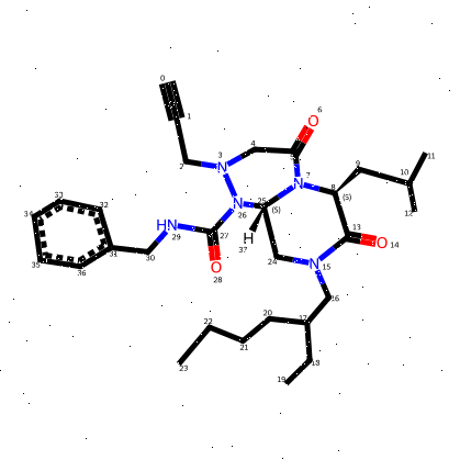 C#CCN1CC(=O)N2[C@@H](CC(C)C)C(=O)N(CC(CC)CCCC)C[C@@H]2N1C(=O)NCc1ccccc1